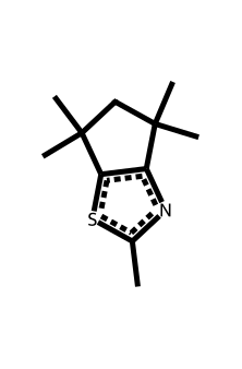 Cc1nc2c(s1)C(C)(C)CC2(C)C